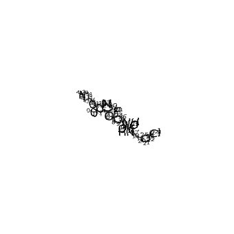 COc1cc2c(Oc3ccc(NC(=O)C(=O)NCCc4cccc(Cl)c4)cc3F)ccnc2cc1OCC1CCN(C)CC1